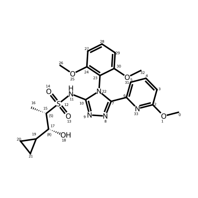 COc1cccc(-c2nnc(NS(=O)(=O)[C@@H](C)[C@H](O)C3CC3)n2-c2c(OC)cccc2OC)n1